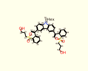 C=C(c1ccc2c(c1)c1cc(C(=C)c3ccccc3S(=O)(=O)CCCO)ccc1n2CCCCCC)c1ccccc1S(=O)(=O)CCCO